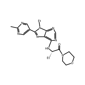 CC[C@H](Nc1ncnc2c1nc(-c1cnc(C)nc1)n2CC)C(=O)N1CCOCC1